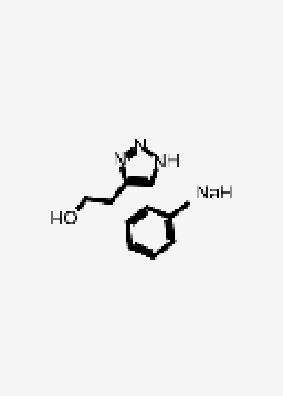 Cc1ccccc1.OCCc1c[nH]nn1.[NaH]